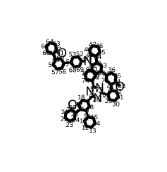 c1ccc(-c2nc(-c3cc(-c4ccccc4)c4c(c3)oc3ccccc34)nc(-c3cccc4oc5ccc(-c6ccc7c(c6)c6ccccc6n7-c6ccc(-c7cccc8c7oc7ccccc78)cc6)cc5c34)n2)cc1